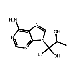 CCC(O)(C(C)O)n1cnc2c(N)ncnc21